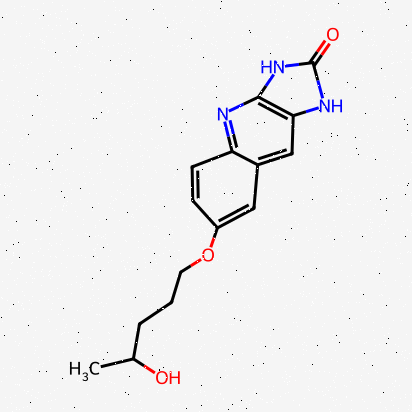 CC(O)CCCOc1ccc2nc3[nH]c(=O)[nH]c3cc2c1